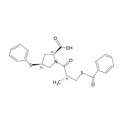 C[C@@H](CSC(=O)c1ccccc1)C(=O)N1C[C@@H](Sc2ccccc2)C[C@H]1C(=O)O